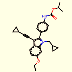 CCOc1ccc2c(C#CC3CC3)c(-c3ccc(NC(=O)OC(C)C)cc3)n(CC3CC3)c2c1